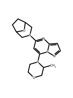 CC1COCCN1c1cc(N2CC3CCC(C2)O3)nc2ccnn12